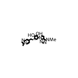 CNc1ncnc2c1ccn2[C@@H]1C[C@H](CCc2ccn3c(C)cnc3c2)[C@@H](O)[C@H]1O